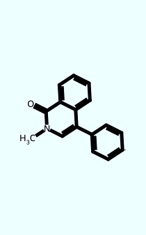 Cn1cc(-c2cc[c]cc2)c2ccccc2c1=O